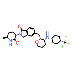 C=C1CCC(N2Cc3cc(C[C@H]4OCCC[C@@H]4N[C@H]4CC[C@@H](C(F)(F)F)CC4)ccc3C2=O)C(=O)N1